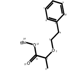 CC(OCCc1ccccc1)C(=O)OC(C)(C)C